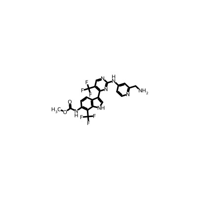 COC(=O)Nc1ccc2c(-c3nc(Nc4ccnc(CN)c4)ncc3C(F)(F)F)c[nH]c2c1C(F)(F)F